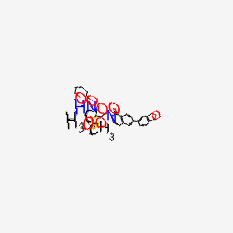 CC(CCn1ccc2cc(-c3ccc4c(c3)COC4)ccc2c1=O)(C(=O)NOC1CCCCO1)S(C)(=O)=O